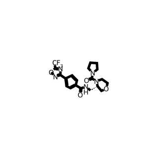 O=C(NC[C@H]1COCCN1C(=O)N1CCCC1)c1ccc(-c2noc(C(F)(F)F)n2)cc1